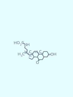 C[C@H](CCNC(=O)O)[C@H]1CCC2C3C(=O)CC4C[C@H](O)CC[C@]4(C)C3CC[C@@]21C